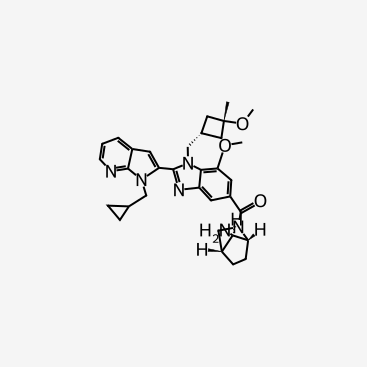 COc1cc(C(=O)N2C[C@H]3CC[C@@H]2[C@@H]3N)cc2nc(-c3cc4cccnc4n3CC3CC3)n(C[C@H]3C[C@@](C)(OC)C3)c12